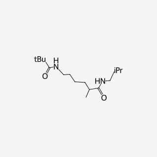 CC(C)CNC(=O)C(C)CCCCNC(=O)C(C)(C)C